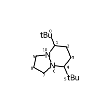 CC(C)(C)C1CCC(C(C)(C)C)N2CCCN12